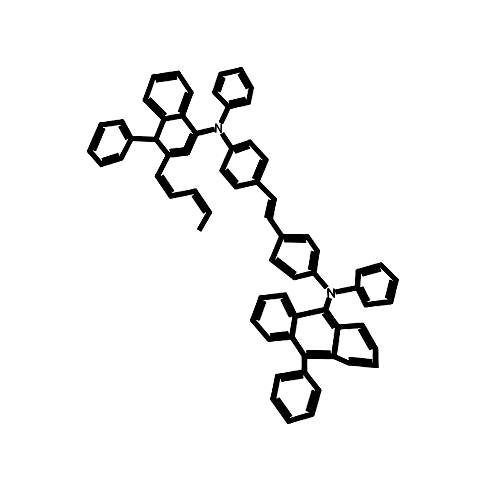 C/C=C\C=C/C1=C=C(N(c2ccccc2)c2ccc(/C=C/c3ccc(N(c4ccccc4)c4c5ccccc5c(-c5ccccc5)c5ccccc45)cc3)cc2)c2ccccc2C1c1ccccc1